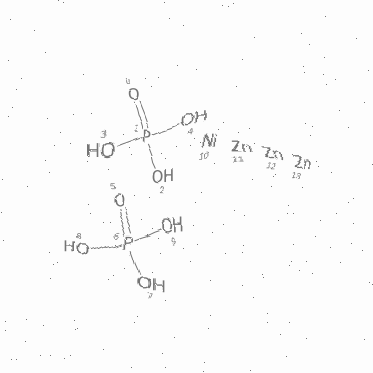 O=P(O)(O)O.O=P(O)(O)O.[Ni].[Zn].[Zn].[Zn]